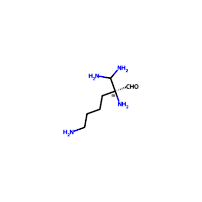 NCCCC[C@@](N)(C=O)C(N)N